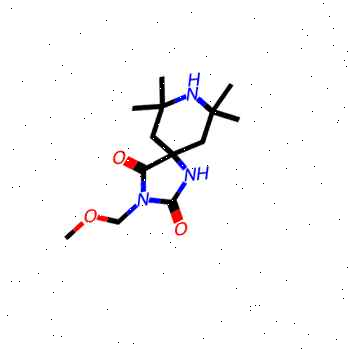 COCN1C(=O)NC2(CC(C)(C)NC(C)(C)C2)C1=O